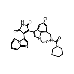 O=C1NC(=O)C(c2cnc3ccccn23)=C1c1cn2c3c(cc(Cl)cc13)CN(C(=O)N1CCCCC1)CC2